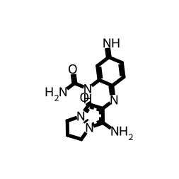 N=C1C=C/C(=N/c2c(N)n3n(c2=O)CCC3)C(NC(N)=O)=C1